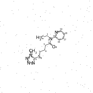 CCN(C(=O)CCCSc1nnnn1C)c1ccccn1